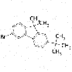 CC(C)(C)c1ccc2c(c1)C(C)(C)c1ccc(Br)cc1-2